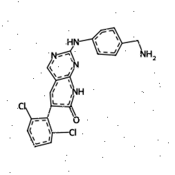 NCc1ccc(Nc2ncc3cc(-c4c(Cl)cccc4Cl)c(=O)[nH]c3n2)cc1